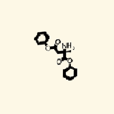 C[C@](N)(CC(=O)Oc1ccccc1)C(=O)Oc1ccccc1